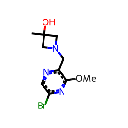 COc1nc(Br)cnc1CN1CC(C)(O)C1